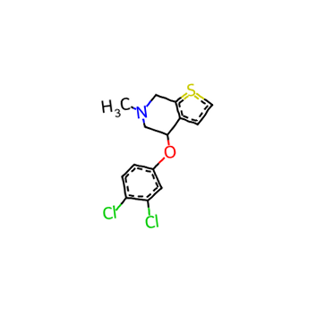 CN1Cc2sccc2C(Oc2ccc(Cl)c(Cl)c2)C1